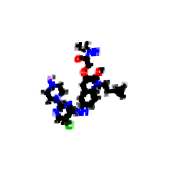 CNC(=O)COc1cc2cc(Nc3nc(N4CCN(I)CC4)ncc3Cl)ccc2n(CCC2CC2)c1=O